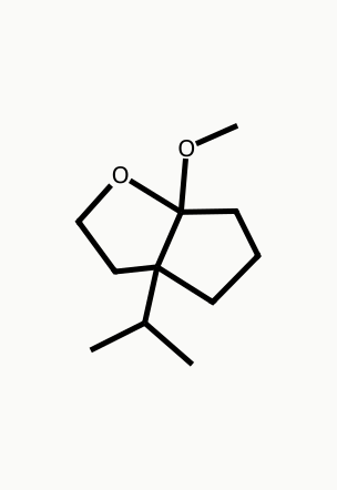 COC12CCCC1(C(C)C)CCO2